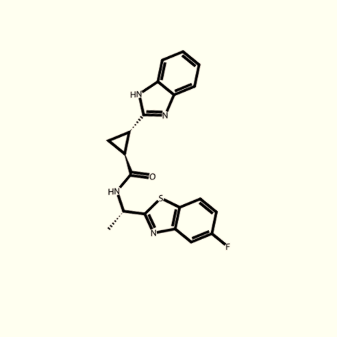 C[C@H](NC(=O)[C@H]1C[C@@H]1c1nc2ccccc2[nH]1)c1nc2cc(F)ccc2s1